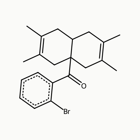 CC1=C(C)CC2(C(=O)c3ccccc3Br)CC(C)=C(C)CC2C1